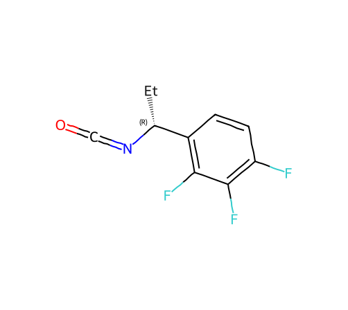 CC[C@@H](N=C=O)c1ccc(F)c(F)c1F